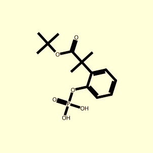 CC(C)(C)OC(=O)C(C)(C)c1ccccc1OP(=O)(O)O